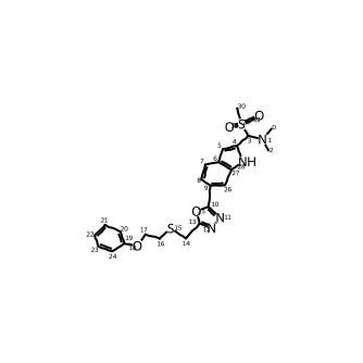 CN(C)C(c1cc2ccc(-c3nnc(CSCCOc4ccccc4)o3)cc2[nH]1)S(C)(=O)=O